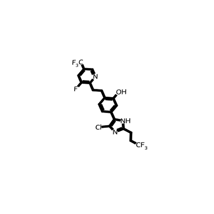 Oc1cc(-c2[nH]c(CCC(F)(F)F)nc2Cl)ccc1CCc1ncc(C(F)(F)F)cc1F